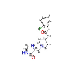 O=C(Cc1ccccc1F)CC1CCN(Cc2ncc[nH]c2=O)CC1